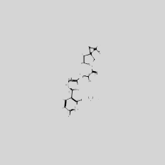 COc1nc(C(F)(F)F)ccc1-c1nnc(NC(C)C(=O)N2CCC3(C2)CC3(F)F)o1